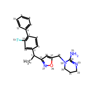 CC(c1ccc(-c2ccccc2)c(F)c1)c1cc(CN2CCCN=C2N)on1